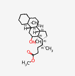 COC(=O)CC[C@@H](C)[C@H]1CC[C@H]2[C@@H]3CCC4CCCC[C@]4(C)[C@H]3CC(O)[C@]12C